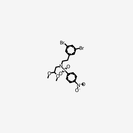 COC(CN(CCc1cc(Br)cc(Br)c1)S(=O)(=O)c1ccc([N+](=O)[O-])cc1)OC